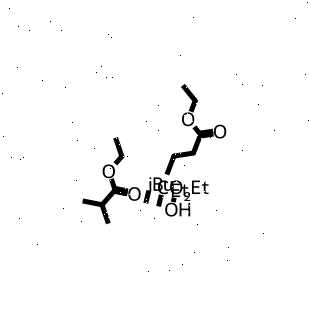 CCCC(=O)OCC.CCO.CCOC(=O)C(C)C.CCOC(C)=O.[CH2]CC(C)C